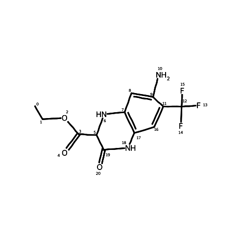 CCOC(=O)C1Nc2cc(N)c(C(F)(F)F)cc2NC1=O